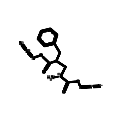 [N-]=[N+]=NOC(=O)C(Cc1ccccc1)C[C@@H](N)C(=O)ON=[N+]=[N-]